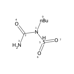 CCCCN(C(N)=O)[SH](=O)=O